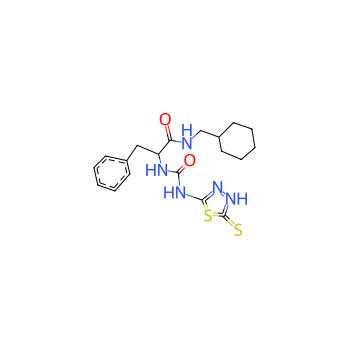 O=C(Nc1n[nH]c(=S)s1)NC(Cc1ccccc1)C(=O)NCC1CCCCC1